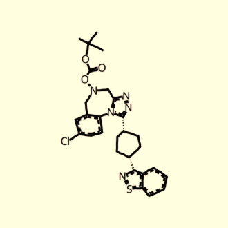 CC(C)(C)OC(=O)ON1Cc2cc(Cl)ccc2-n2c(nnc2[C@H]2CC[C@@H](c3nsc4ccccc43)CC2)C1